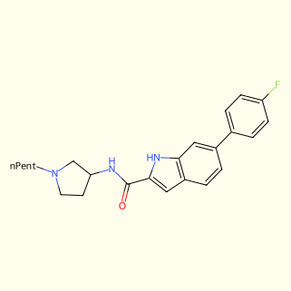 CCCCCN1CCC(NC(=O)c2cc3ccc(-c4ccc(F)cc4)cc3[nH]2)C1